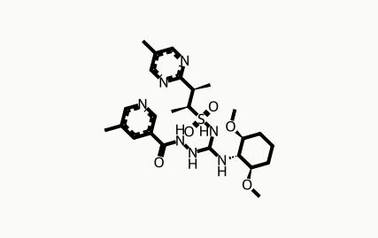 CO[C@H]1CCC[C@@H](OC)[C@@H]1NC(NNC(=O)c1cncc(C)c1)NS(=O)(=O)[C@@H](C)[C@H](C)c1ncc(C)cn1